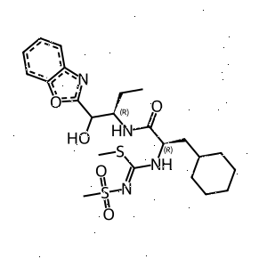 CC[C@@H](NC(=O)[C@@H](CC1CCCCC1)NC(=NS(C)(=O)=O)SC)C(O)c1nc2ccccc2o1